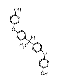 CCC(C)(c1ccc(Oc2ccc(O)cc2)cc1)c1ccc(Oc2ccc(O)cc2)cc1